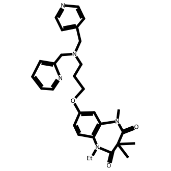 CCN1C(=O)C(C)(C)C(=O)N(C)c2cc(OCCCN(Cc3ccncc3)Cc3ccccn3)ccc21